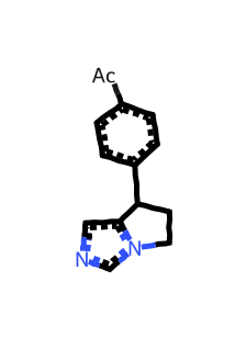 CC(=O)c1ccc(C2CCn3cncc32)cc1